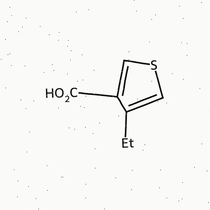 CCc1cscc1C(=O)O